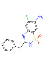 Nc1cc2c(cc1Cl)N=C(Cc1ccccc1)NS2(=O)=O